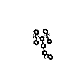 c1ccc(-c2nc3ccccc3n2-c2cc(-c3ccc(-c4ccc5oc6ccccc6c5c4)cc3)cc(-n3c(-c4ccccc4)nc4ccccc43)c2)cc1